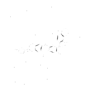 COc1cc2c(cc1Nc1ncc(Br)c(Nc3ccc4c(c3P(C)C)OCCO4)n1)CCN(C1CCN(C)C1)C2